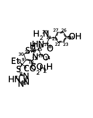 CCC(Sc1nnn[nH]1)(C(=O)O)C1=C(C(=O)O)N2C(=O)C(NC(=O)C(N)c3ccc(O)cc3)[C@@H]2SC1